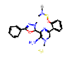 CCN(C)SOc1ccccc1C1=NC(C2OC(c3ccccc3)=NN2C)=C(N)N(C)C1.S